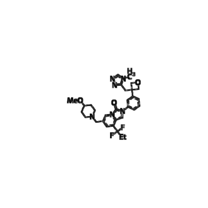 CCC(F)(F)c1cc(CN2CCC(OC)CC2)cn2c(=O)n(-c3cccc(C4(Cc5nncn5C)COC4)c3)cc12